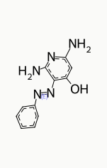 Nc1cc(O)c(/N=N/c2ccccc2)c(N)n1